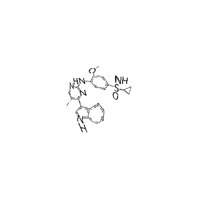 COc1cc(S(=N)(=O)C2CC2)ccc1Nc1ncc(C)c(-c2c[nH]c3ccccc23)n1